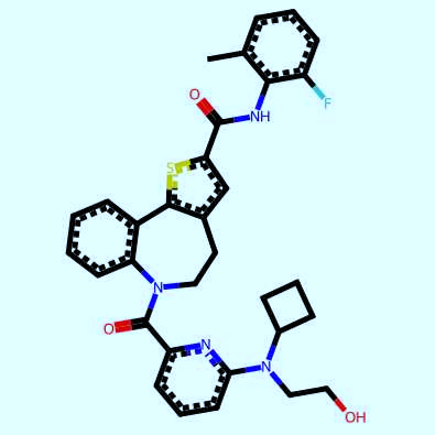 Cc1cccc(F)c1NC(=O)c1cc2c(s1)-c1ccccc1N(C(=O)c1cccc(N(CCO)C3CCC3)n1)CC2